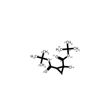 CC(C)(C)OC(=O)C1CC1(Cl)C(=O)OC(C)(C)C